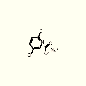 Clc1ccc(Cl)nc1.O=C[O-].[Na+]